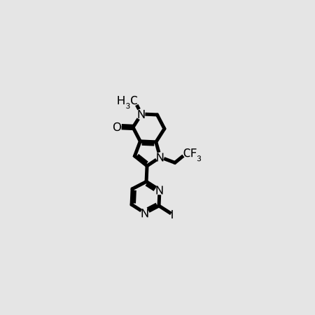 CN1CCc2c(cc(-c3ccnc(I)n3)n2CC(F)(F)F)C1=O